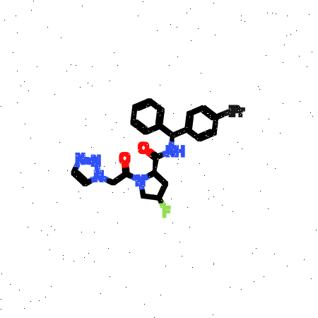 CC(C)c1ccc([C@@H](NC(=O)[C@H]2C[C@@H](F)CN2C(=O)Cn2ccnn2)c2ccccc2)cc1